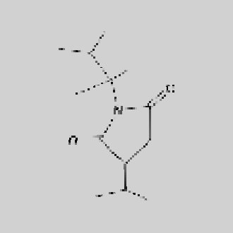 CC(C)C1CC(=O)N(C(C)(C)C(C)C)C1=O